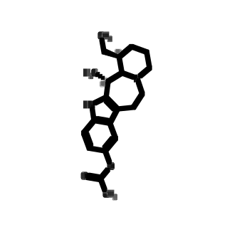 CC[C@H]1CCCN2CCc3c([nH]c4ccc(OC(C)=O)cc34)[C@H](C)C12